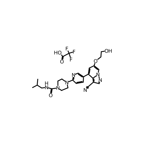 CC(C)CNC(=O)N1CCN(c2ccc(-c3cc(OCCO)cn4ncc(C#N)c34)cn2)CC1.O=C(O)C(F)(F)F